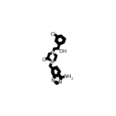 Nc1ncnc2cc(CN3CCN(C[C@@H](O)c4cccc(Cl)c4)CC3=O)ccc12